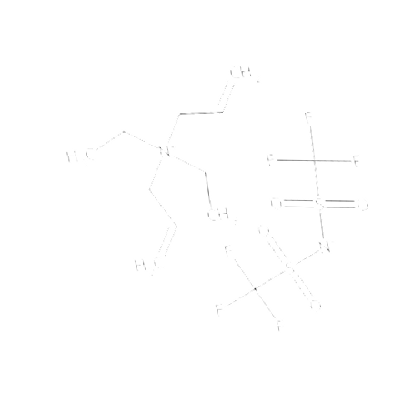 C=CC[N+](CC)(CC)CC=C.O=S(=O)([N-]S(=O)(=O)C(F)(F)F)C(F)(F)F